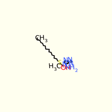 CCCCCCCCCCCCCCCCSC(C)C(O)n1cnc2ncnc-2c1N